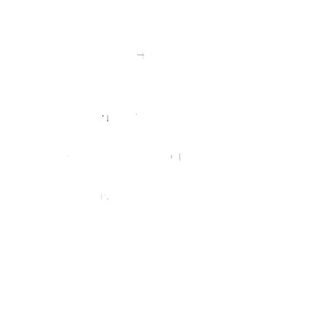 Cc1cc(C)c(S(=O)(=O)NC(CNc2ccccc2)C(F)(F)F)c(C)c1